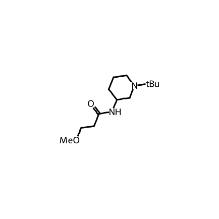 COCCC(=O)NC1CCCN(C(C)(C)C)C1